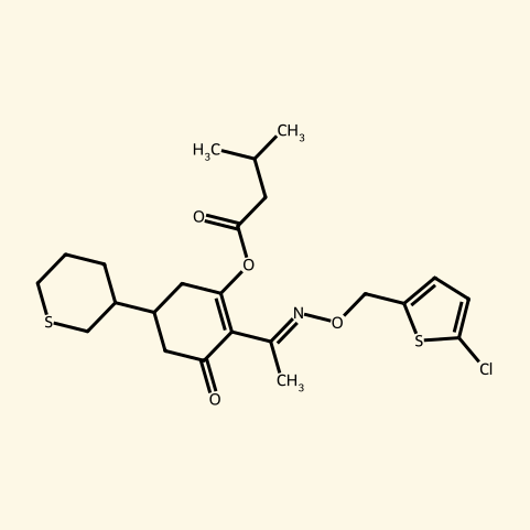 CC(=NOCc1ccc(Cl)s1)C1=C(OC(=O)CC(C)C)CC(C2CCCSC2)CC1=O